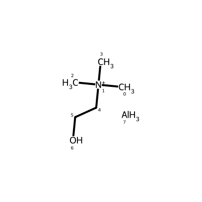 C[N+](C)(C)CCO.[AlH3]